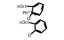 CCCCCCCCc1ccccc1[O-].CCCCCCCCc1ccccc1[O-].[PbH2+2]